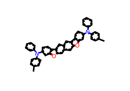 Cc1ccc(N(c2ccccc2)c2ccc3c(c2)oc2cc4cc5oc6cc(N(c7ccccc7)c7ccc(C)cc7)ccc6c5cc4cc23)cc1